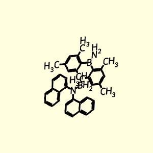 BN(c1cccc2ccccc12)c1cccc2ccccc12.Cc1cc(C)c(B(N)c2c(C)cc(C)cc2C)c(C)c1